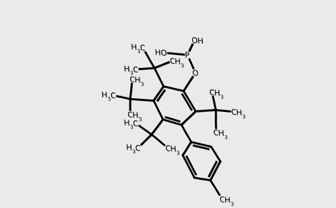 Cc1ccc(-c2c(C(C)(C)C)c(OP(O)O)c(C(C)(C)C)c(C(C)(C)C)c2C(C)(C)C)cc1